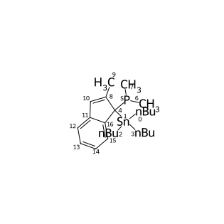 CCC[CH2][Sn]([CH2]CCC)([CH2]CCC)[C]1(P(C)C)C(C)=Cc2ccccc21